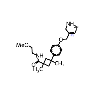 COCCNC(=O)C1(C)CC(C)(c2ccc(OC/C(=C/F)CN)cc2)C1